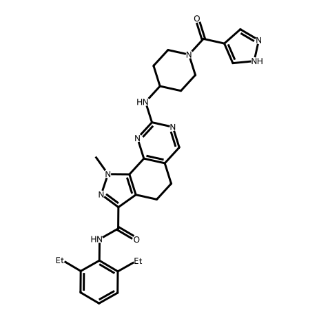 CCc1cccc(CC)c1NC(=O)c1nn(C)c2c1CCc1cnc(NC3CCN(C(=O)c4cn[nH]c4)CC3)nc1-2